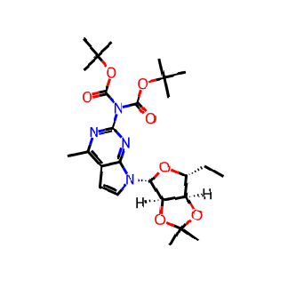 CC[C@H]1O[C@@H](n2ccc3c(C)nc(N(C(=O)OC(C)(C)C)C(=O)OC(C)(C)C)nc32)[C@@H]2OC(C)(C)O[C@@H]21